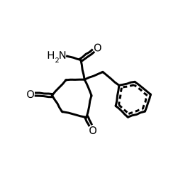 NC(=O)C1(Cc2ccccc2)CC(=O)CC(=O)C1